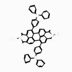 CCCCN1C(=O)c2ccc3c4c(-c5ccc(N(c6ccccc6)c6ccccc6)cc5)cc5c6c(ccc(c7c(-c8ccc(N(c9ccccc9)c9ccccc9)cc8)cc(c2c37)C1=O)c64)C(=O)N(CCCC)C5=O